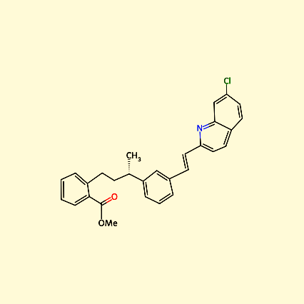 COC(=O)c1ccccc1CC[C@H](C)c1cccc(/C=C/c2ccc3ccc(Cl)cc3n2)c1